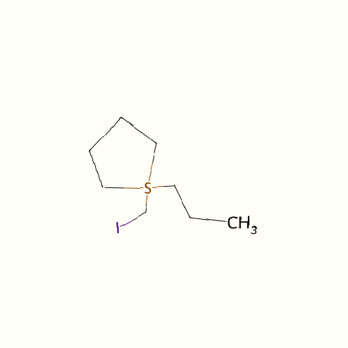 CCCS1(CI)CCCC1